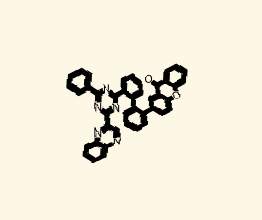 O=c1c2ccccc2oc2ccc(-c3ccccc3-c3ccccc3-c3nc(-c4ccccc4)nc(-c4cnc5ccccc5n4)n3)cc12